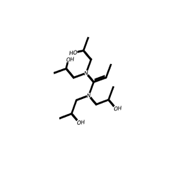 CC=C(N(CC(C)O)CC(C)O)N(CC(C)O)CC(C)O